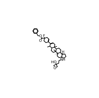 CC1C(C2=CCC(F)(C(=O)OCc3ccccc3)CC2)=CCC2(C)C1CCC1(C)C2CCC2[C@H]3CCCC3(NCCC3(O)COC3)CC[C@]21C